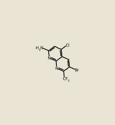 Nc1cc(Cl)c2cc(Br)c(C(F)(F)F)nc2n1